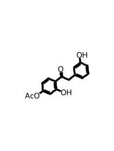 CC(=O)Oc1ccc(C(=O)Cc2cccc(O)c2)c(O)c1